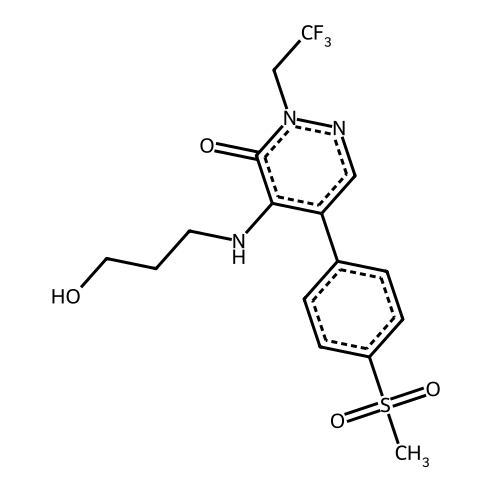 CS(=O)(=O)c1ccc(-c2cnn(CC(F)(F)F)c(=O)c2NCCCO)cc1